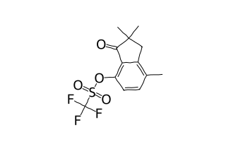 Cc1ccc(OS(=O)(=O)C(F)(F)F)c2c1CC(C)(C)C2=O